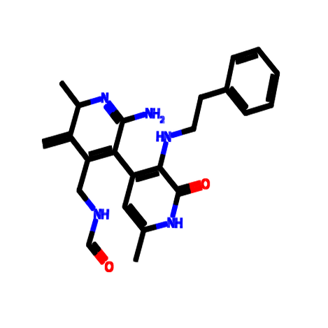 C=C1C(CNC=O)=C(c2cc(C)[nH]c(=O)c2NCCc2ccccc2)C(N)=NC1C